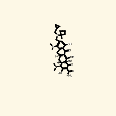 CN(C)c1c(CN(CC2CC2)C2(C)CCC2)cc(O)c2c1C[C@H]1C[C@H]3[C@H](N(C)C)C(O)=C(C(N)=O)C(=O)[C@@]3(O)C(O)=C1C2=O